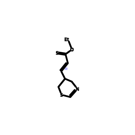 CCOC(=S)/C=C/C1CN=CSC1